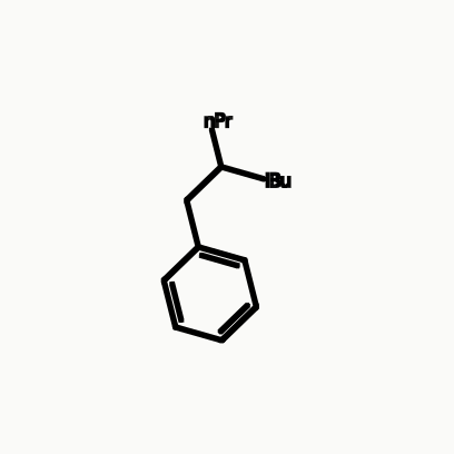 [CH2]CCC(Cc1ccccc1)C(C)CC